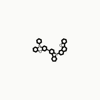 c1ccc(N2c3ccccc3Oc3cc(-c4ccc5c(c4)c4ccccc4n5-c4ccc5ccc6c7ccccc7oc6c5c4)ccc32)cc1